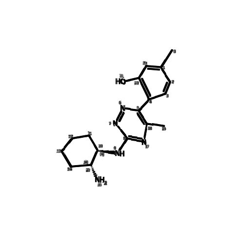 Cc1ccc(-c2nnc(N[C@@H]3CCCC[C@H]3N)nc2C)c(O)c1